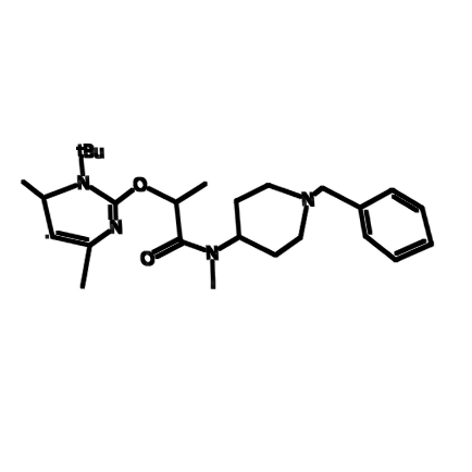 CC1=[C]C(C)N(C(C)(C)C)C(OC(C)C(=O)N(C)C2CCN(Cc3ccccc3)CC2)=N1